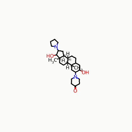 C[C@]12CC(N3CCC(=O)CC3)C(O)CC1CC[C@@H]1[C@H]2CC[C@]2(C)C(O)C(N3CCCC3)C[C@@H]12